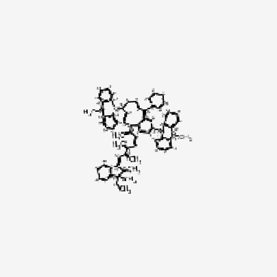 C=C(/C=C\C(=C)C1=c2\ccc(N3c4ccccc4N(C)c4ccccc43)c\c2=C(c2ccccc2)\C=C\CC(N2c3ccccc3N(C)c3ccccc32)\C=C\1)C(=C)/C=C1\C(=C)C(C)(CC)c2ccccc21